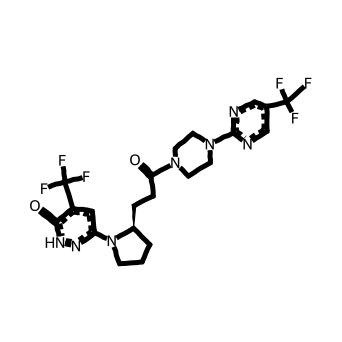 O=C(CC[C@H]1CCCN1c1cc(C(F)(F)F)c(=O)[nH]n1)N1CCN(c2ncc(C(F)(F)F)cn2)CC1